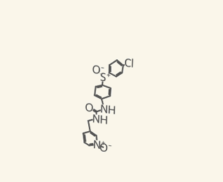 O=C(NCc1ccc[n+]([O-])c1)Nc1ccc([S+]([O-])c2ccc(Cl)cc2)cc1